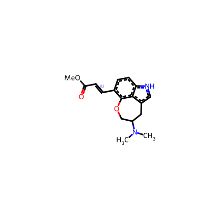 COC(=O)/C=C/c1ccc2[nH]cc3c2c1OCC(N(C)C)C3